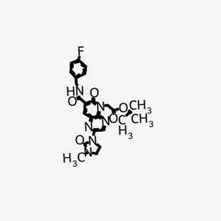 CN1CCN(c2cnc3c(cc(C(=O)NCc4ccc(F)cc4)c(=O)n3CC(=O)OC(C)(C)C)n2)C1=O